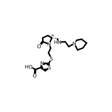 O=C(O)c1csc(SCCN2C(=O)CC[C@@H]2CNCCN2CCCCC2)n1